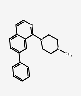 CN1CCN(c2nccc3ccc(-c4ccccc4)cc23)CC1